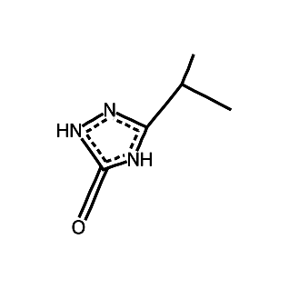 CC(C)c1n[nH]c(=O)[nH]1